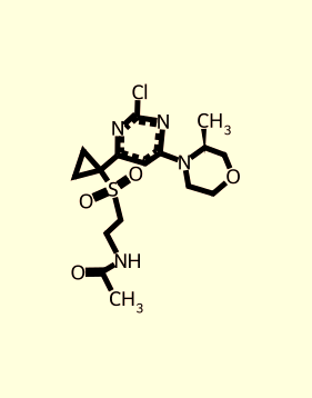 CC(=O)NCCS(=O)(=O)C1(c2cc(N3CCOC[C@@H]3C)nc(Cl)n2)CC1